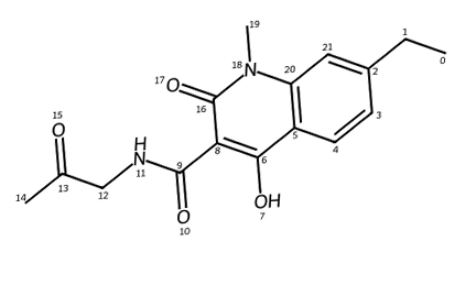 CCc1ccc2c(O)c(C(=O)NCC(C)=O)c(=O)n(C)c2c1